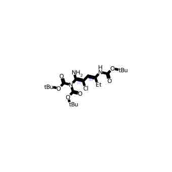 CC/C(=C\C(Cl)=C(/N)N(C(=O)OC(C)(C)C)C(=O)OC(C)(C)C)NC(=O)OC(C)(C)C